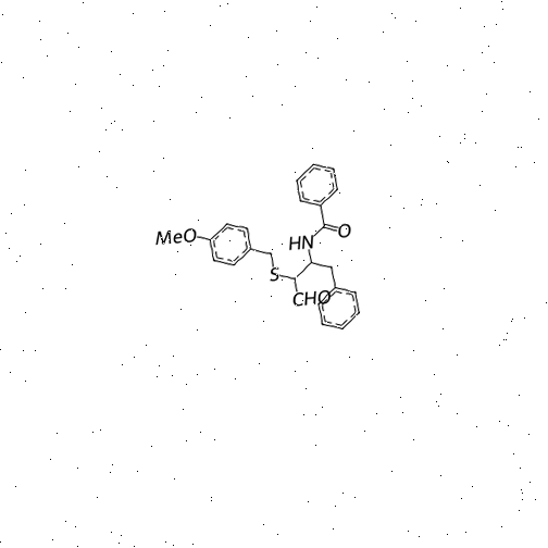 COc1ccc(CSC(C=O)C(Cc2ccccc2)NC(=O)c2ccccc2)cc1